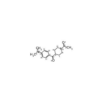 CC(=O)N1CCC(C(=O)c2ccc(N(C)C)cc2)CC1